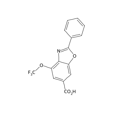 O=C(O)c1cc(OC(F)(F)F)c2nc(-c3ccccc3)oc2c1